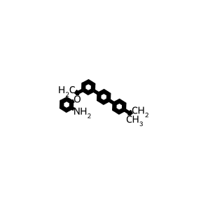 C=C(C)c1ccc(-c2ccc(-c3cccc(C(=C)Oc4ccccc4N)c3)cc2)cc1